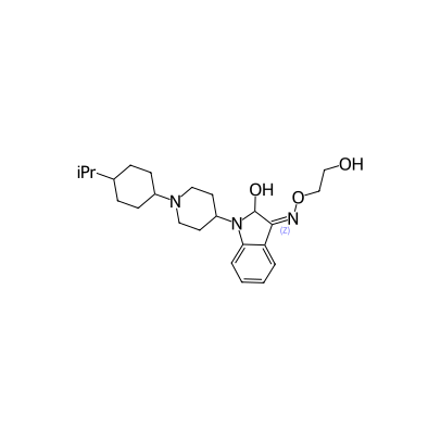 CC(C)C1CCC(N2CCC(N3c4ccccc4/C(=N/OCCO)C3O)CC2)CC1